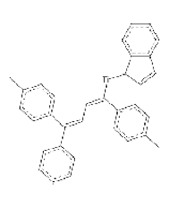 Cc1ccc([C](=CC=C(c2cc[c]cc2)c2ccc(C)cc2)[Ti][CH]2C=Cc3ccccc32)cc1